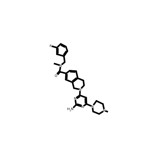 CN1CCN(c2cc(N3CCc4ccc(C(=O)N(C)Cc5cccc(F)c5)cc4C3)nc(N)n2)CC1